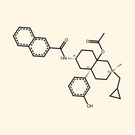 CC(=O)OC12CC[C@@H](NC(=O)c3ccc4ccccc4c3)C[C@]1(c1cccc(O)c1)CC[N@+](C)(CC1CC1)C2